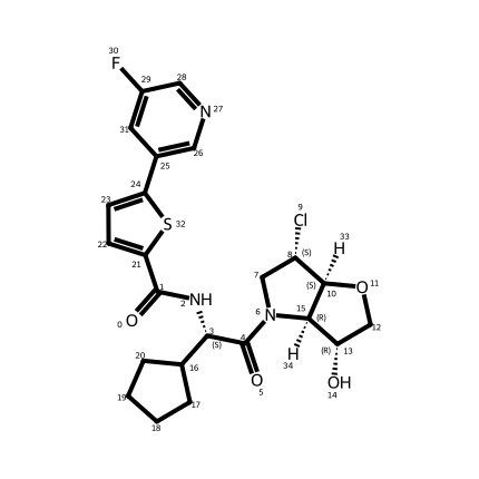 O=C(N[C@H](C(=O)N1C[C@H](Cl)[C@H]2OC[C@H](O)[C@H]21)C1CCCC1)c1ccc(-c2cncc(F)c2)s1